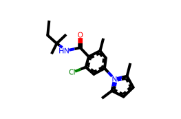 CCC(C)(C)NC(=O)c1c(C)cc(-n2c(C)ccc2C)cc1Cl